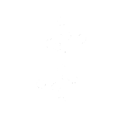 c1ccc(-c2cc(-c3ccccc3)cc(-n3c4ccccc4c4cc(-c5ccc6c(c5)c5cccnc5n6-c5cc(-c6ccccc6)cc(-c6ccccc6)n5)ccc43)c2)cc1